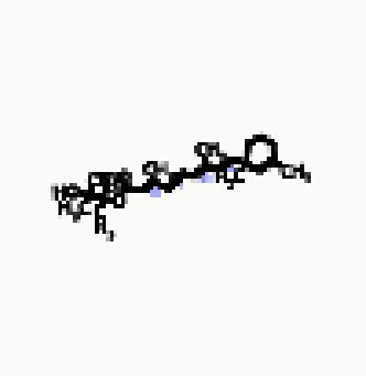 CC1=CC(C)(/C=C/C(C)=C/C=C/C(C)=C/C(=O)OC(C)(C)C(C)(C)O)CCC1